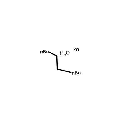 O.[CH2]CCCCCCCCC.[Zn]